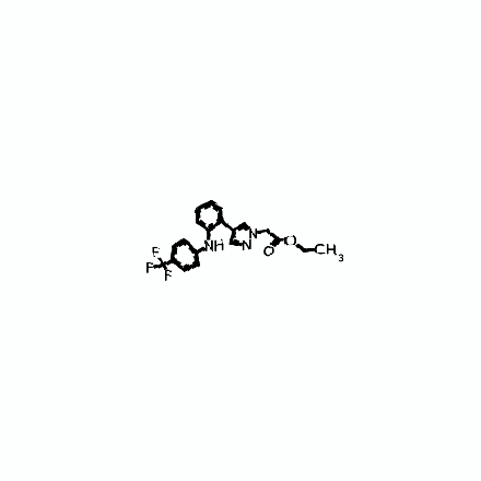 CCOC(=O)Cn1cc(-c2ccccc2Nc2ccc(C(F)(F)F)cc2)cn1